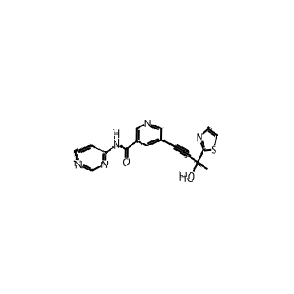 CC(O)(C#Cc1cncc(C(=O)Nc2ccncn2)c1)c1nccs1